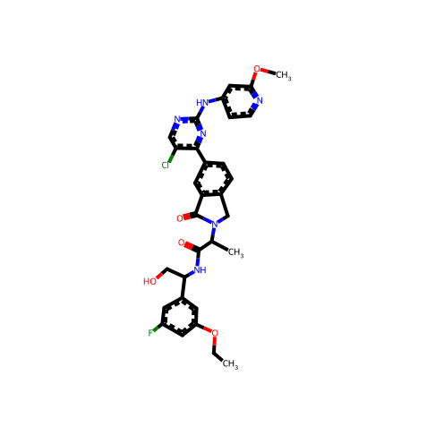 CCOc1cc(F)cc(C(CO)NC(=O)C(C)N2Cc3ccc(-c4nc(Nc5ccnc(OC)c5)ncc4Cl)cc3C2=O)c1